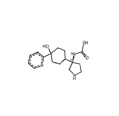 O=C(O)N[C@@]1(C2CCC(O)(c3ccccn3)CC2)CCNC1